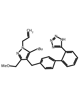 C=CCn1nc(COC)c(Cc2ccc(-c3ccccc3-c3nnn[nH]3)cc2)c1CCCC